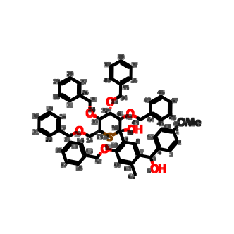 COc1ccc(C(O)c2cc([C@]3(O)S[C@@H](COCc4ccccc4)[C@@H](OCc4ccccc4)[C@H](OCc4ccccc4)[C@H]3OCc3ccccc3)c(OCc3ccccc3)cc2C)cc1